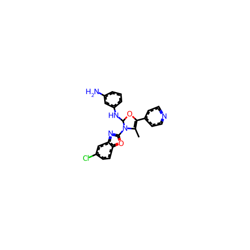 CC1=C(c2ccncc2)OC(Nc2cccc(N)c2)N1c1nc2cc(Cl)ccc2o1